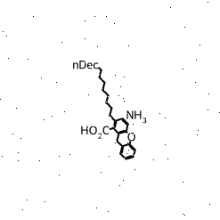 CCCCCCCCCCCCCCCCCCc1ccc2c(c1C(=O)O)Cc1ccccc1O2.N